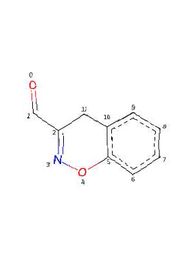 O=CC1=NOc2ccccc2C1